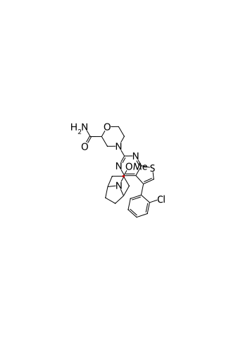 COC1CC2CCC(C1)N2c1nc(N2CCOC(C(N)=O)C2)nc2scc(-c3ccccc3Cl)c12